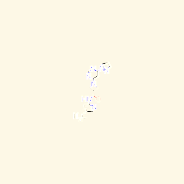 Cc1cnc(NC(=O)C2CN(c3cc(-n4cccn4)ncn3)C2)s1